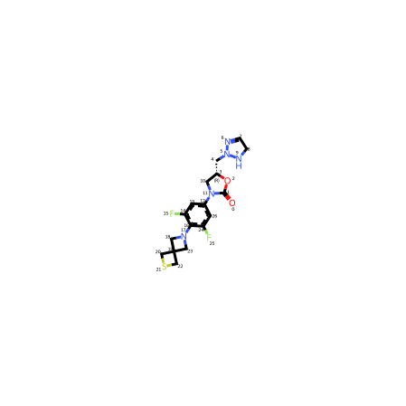 O=C1O[C@@H](CN2N=CCN2)CN1c1cc(F)c(N2CC3(CSC3)C2)c(F)c1